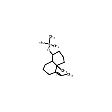 C/C=C1/CCCC2C(O[Si](C)(C)C(C)(C)C)CCCC12C